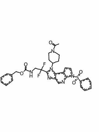 CC(=O)N1CCC(n2c(C(F)(F)CNC(=O)OCc3ccccc3)nc3cnc4c(ccn4S(=O)(=O)c4ccccc4)c32)CC1